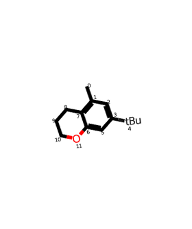 Cc1cc(C(C)(C)C)cc2c1CCCO2